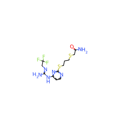 NC(=O)CSCCCSc1nccc(NC(N)=NCC(F)(F)F)n1